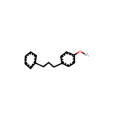 FC(F)(F)Oc1ccc(CCCc2ccccc2)cc1